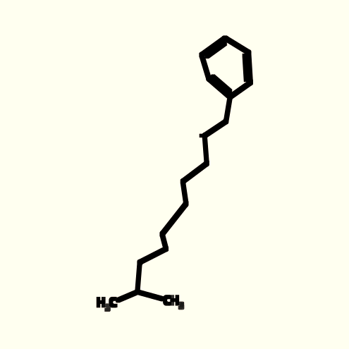 CC(C)CCCCCC[CH]Cc1ccccc1